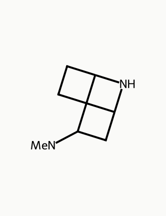 CNC1CC2NC3CCC132